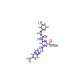 COC(=O)c1nc(NCc2cn3cc(C4CC4)ccc3n2)cc(NC(=O)[C@@H]2C[C@H]2c2cccc(Cl)c2)n1